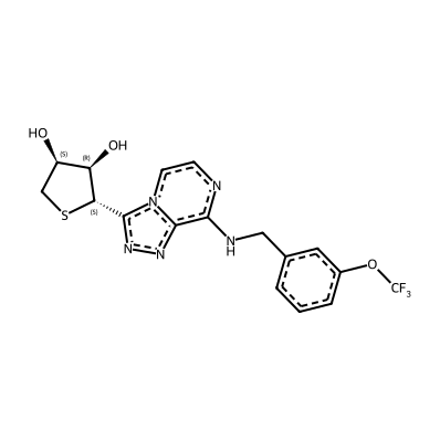 O[C@@H]1[C@H](O)CS[C@H]1c1nnc2c(NCc3cccc(OC(F)(F)F)c3)nccn12